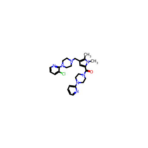 Cc1c(CN2CCN(c3ncccc3Cl)CC2)cc(C(=O)N2CCN(c3ccccn3)CC2)n1C